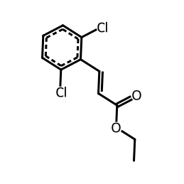 CCOC(=O)/C=C/c1c(Cl)cccc1Cl